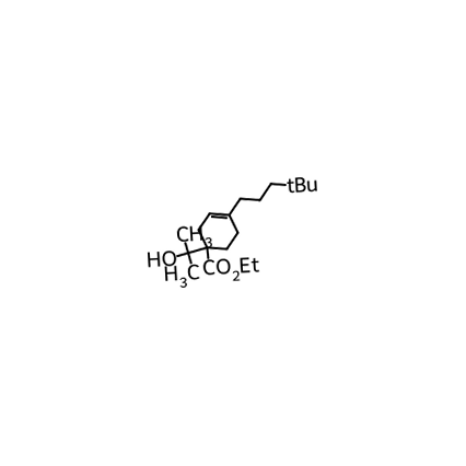 CCOC(=O)C1(C(C)(C)O)CC=C(CCCC(C)(C)C)CC1